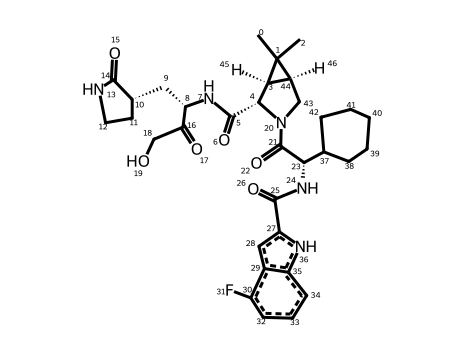 CC1(C)[C@@H]2[C@@H](C(=O)N[C@@H](C[C@@H]3CCNC3=O)C(=O)CO)N(C(=O)[C@@H](NC(=O)c3cc4c(F)cccc4[nH]3)C3CCCCC3)C[C@@H]21